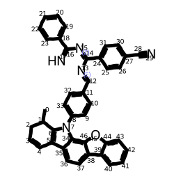 CC1CC=Cc2c1n(-c1ccc(/C=N/C(=N\C(=N)c3ccccc3)c3ccc(C#N)cc3)cc1)c1c2ccc2c3ccccc3oc21